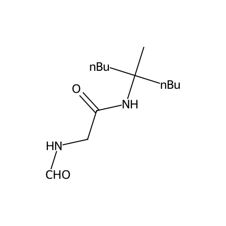 CCCCC(C)(CCCC)NC(=O)CNC=O